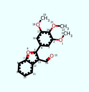 COc1cc(-c2oc3ccccc3c2C=O)cc(OC)c1OC